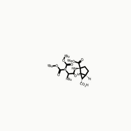 CCCCC(C(=O)N[C@@]1(C(=O)OC)CC[C@H]2[C@H](C(=O)O)[C@H]21)N(C(=O)OC(C)(C)C)C(=O)OC(C)(C)C